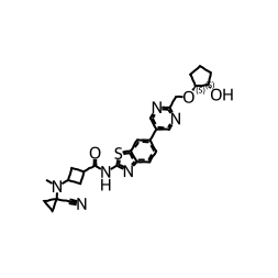 CN(C1CC(C(=O)Nc2nc3ccc(-c4cnc(CO[C@H]5CCC[C@@H]5O)nc4)cc3s2)C1)C1(C#N)CC1